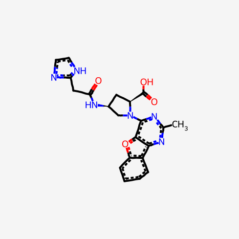 Cc1nc(N2C[C@@H](NC(=O)Cc3ncc[nH]3)C[C@H]2C(=O)O)c2oc3ccccc3c2n1